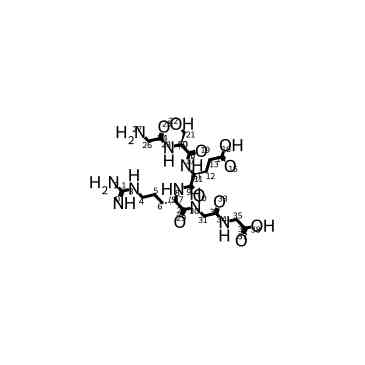 N=C(N)NCCC[C@H](NC(=O)[C@H](CCC(=O)O)NC(=O)[C@H](CO)NC(=O)CN)C(=O)NCC(=O)NCC(=O)O